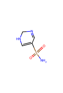 NS(=O)(=O)C1=CNCN=C1